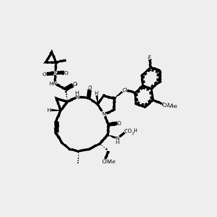 COC[C@@H]1C[C@H](C)CCC=C[C@@H]2C[C@@]2(C(=O)NS(=O)(=O)C2(C)CC2)NC(=O)[C@@H]2C[C@@H](Oc3ccc(OC)c4ccc(F)cc34)CN2C(=O)[C@H]1NC(=O)O